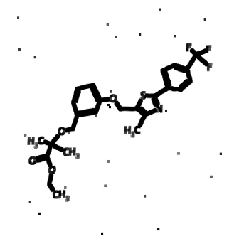 CCOC(=O)C(C)(C)OCc1cccc(OCc2sc(-c3ccc(C(F)(F)F)cc3)nc2C)c1